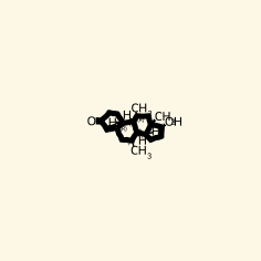 C[C@@H]1C[C@]2(C)[C@@H](O)CC[C@H]2[C@H]2[C@H]1[C@H]1CCC(=O)C=C1C[C@H]2C